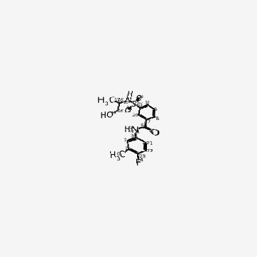 Cc1cc(NC(=O)c2cccc(S(=O)(=O)NC(C)CO)c2)ccc1F